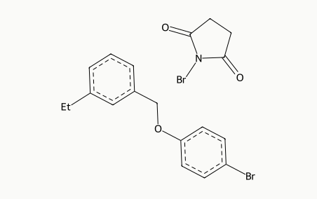 CCc1cccc(COc2ccc(Br)cc2)c1.O=C1CCC(=O)N1Br